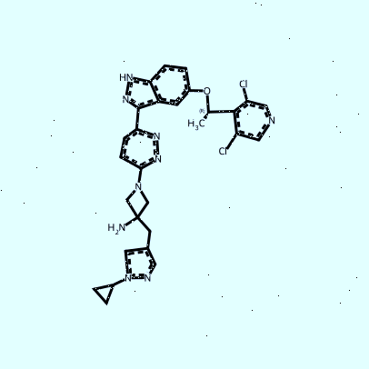 C[C@@H](Oc1ccc2[nH]nc(-c3ccc(N4CC(N)(Cc5cnn(C6CC6)c5)C4)nn3)c2c1)c1c(Cl)cncc1Cl